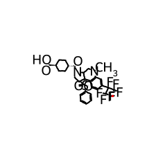 CN1CC2N(C(=O)[C@H]3CC[C@H](C(=O)O)CC3)CCC2(S(=O)(=O)c2ccccc2)c2ccc(C(F)(C(F)(F)F)C(F)(F)F)cc21